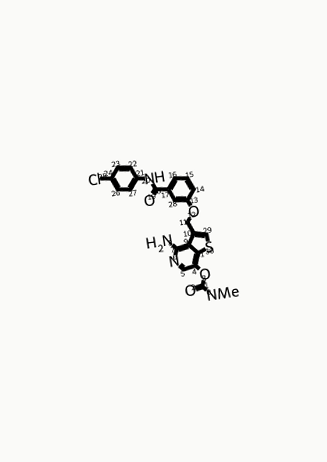 CNC(=O)Oc1cnc(N)c2c(COc3cccc(C(=O)Nc4ccc(Cl)cc4)c3)csc12